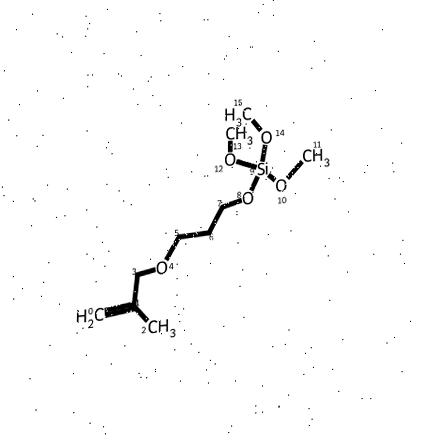 C=C(C)COCCCO[Si](OC)(OC)OC